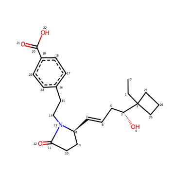 CCC1([C@H](O)CC=C[C@H]2CCC(=O)N2CCc2ccc(C(=O)O)cc2)CCC1